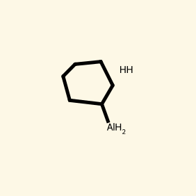 [AlH2][CH]1CCCCC1.[HH]